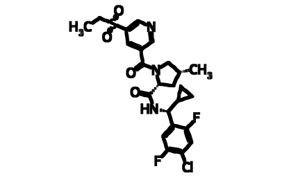 CCS(=O)(=O)c1cncc(C(=O)N2C[C@H](C)C[C@@H]2C(=O)N[C@@H](c2cc(F)c(Cl)cc2F)C2CC2)c1